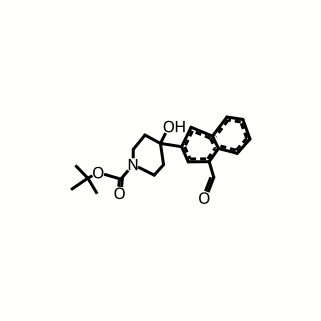 CC(C)(C)OC(=O)N1CCC(O)(c2cc(C=O)c3ccccc3c2)CC1